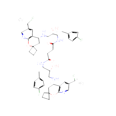 CC(C)[C@H](F)c1cnc2c(c1)[C@@H](NC[C@H](O)[C@H](Cc1ccc(F)cc1)NC(=O)CCC(=O)N[C@@H](Cc1ccc(F)cc1)[C@@H](O)CN[C@H]1CC3(CCC3)Oc3ncc([C@H](F)C(C)C)cc31)CC1(CCC1)O2